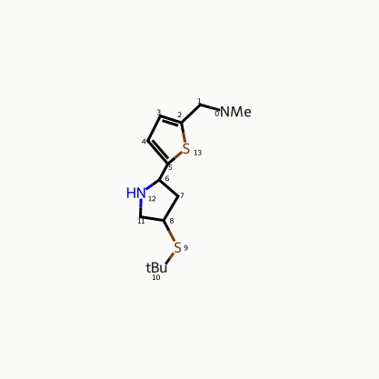 CNCc1ccc(C2CC(SC(C)(C)C)CN2)s1